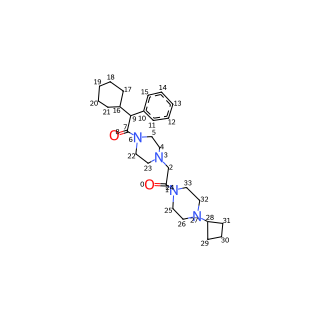 O=C(CN1CCN(C(=O)C(c2ccccc2)C2CCCCC2)CC1)N1CCN(C2CCC2)CC1